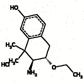 CCO[C@H]1Cc2ccc(O)cc2C(C)(C)[C@@H]1N.Cl